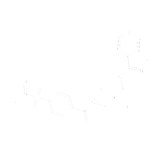 CN(C)S(=O)(=O)c1ccc(C(=O)NCC(C)(C)CNC2=NCc3ccccc32)cc1